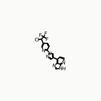 FC(F)(F)C(Cl)c1ccc(-n2cc(-c3ccnc4[nH]cnc34)cn2)nc1